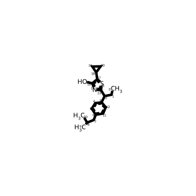 CCC(c1ccc(CC(C)C)cc1)c1nc(O)c(C2CC2)s1